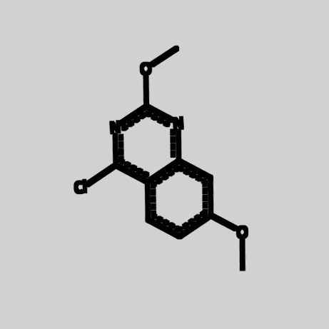 COc1ccc2c(Cl)nc(OC)nc2c1